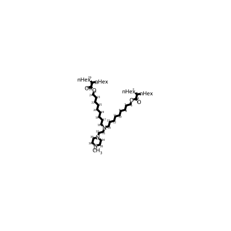 CCCCCCC(CCCCCC)C(=O)OCCCCCCCCCN(CCCCCCCCCOC(=O)C(CCCCCC)CCCCCC)CCN1CCN(C)CC1